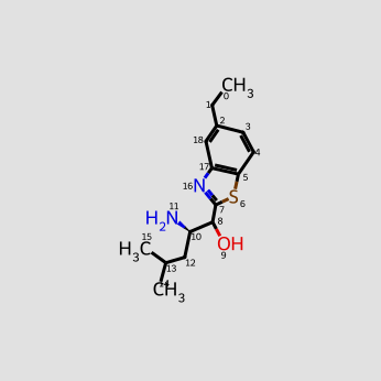 CCc1ccc2sc(C(O)[C@H](N)CC(C)C)nc2c1